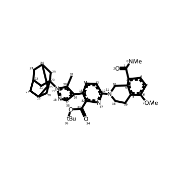 CNC(=O)c1ccc(OC)c2c1CN(c1ccc(-c3cnn(C45CC6CC(CC(C6)C4)C5)c3C)c(C(=O)OC(C)(C)C)n1)CC2